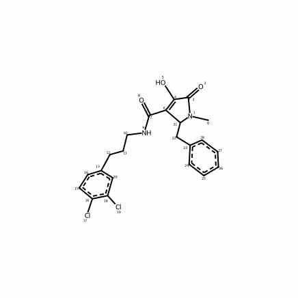 CN1C(=O)C(O)=C(C(=O)NCCCc2ccc(Cl)c(Cl)c2)C1Cc1ccccc1